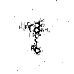 CC(=O)c1cn2c3c(c(NCCCn4cnc5ccccc54)c(F)c(N)c3c1=O)OCC(C)(C)C2